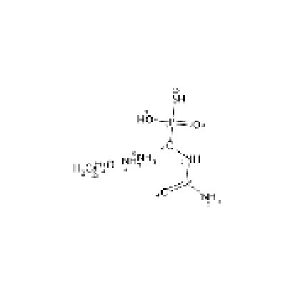 N.N.NC(=O)NOP(=O)(O)S.O.[CaH2]